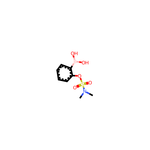 CN(C)S(=O)(=O)Oc1ccccc1B(O)O